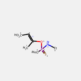 CCNP(=S)(OC)O/C(C)=C/C(=O)O